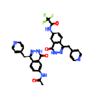 CC(=O)Nc1ccc2c(Cc3ccncc3)n[nH]c(=O)c2c1.O=C(Nc1ccc2c(Cc3ccncc3)n[nH]c(=O)c2c1)C(F)(F)F